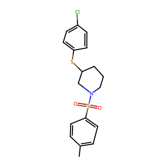 Cc1ccc(S(=O)(=O)N2CCCC(Sc3ccc(Cl)cc3)C2)cc1